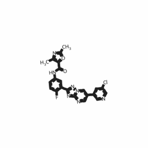 Cc1nc(C)c(C(=O)Nc2ccc(F)c(-c3nc4ncc(-c5cncc(Cl)c5)cn4n3)c2)o1